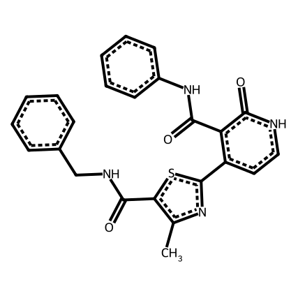 Cc1nc(-c2cc[nH]c(=O)c2C(=O)Nc2ccccc2)sc1C(=O)NCc1ccccc1